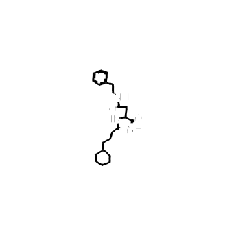 NC(=O)C(CC(=O)NCCc1ccccc1)NC(=O)CCCC1CCCCC1